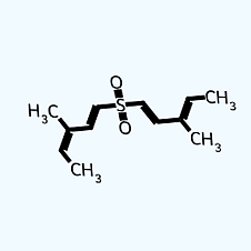 CC=C(C)C=CS(=O)(=O)C=CC(C)=CC